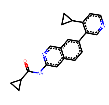 O=C(Nc1cc2ccc(-c3cnccc3C3CC3)cc2cn1)C1CC1